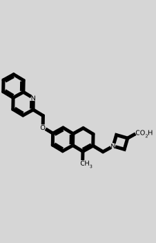 CC1=C(CN2CC(C(=O)O)C2)CCc2cc(OCc3ccc4ccccc4n3)ccc21